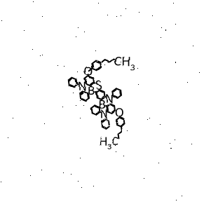 CCCCc1ccc(Oc2cc3c4c(c2)N(c2ccccc2)c2ccccc2B4c2cc4c(cc2S3)N(c2ccccc2)c2cc(Oc3ccc(CCCC)cc3)cc3c2B4c2ccccc2N3c2ccccc2)cc1